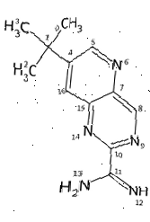 CC(C)(C)c1cnc2cnc(C(=N)N)nc2c1